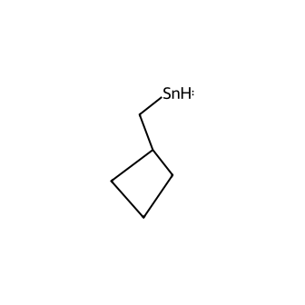 [SnH][CH2]C1CCC1